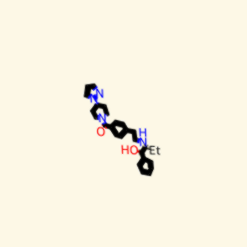 CC[C@@H](NCCc1ccc(C(=O)N2CCC(n3cccn3)CC2)cc1)[C@H](O)c1ccccc1